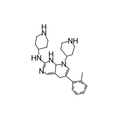 Cc1ccccc1C1=CN(C2CCNCC2)C2NC(NC3CCNCC3)=NC=C2C1